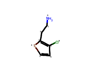 NCCc1sccc1Cl